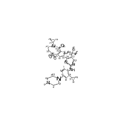 CN1CCN(c2ccc(Nc3ncc(C(F)(F)F)c(-c4cc5c(s4)C(=O)N(C4CC4)CCS5(=O)=O)n3)c(C3CC3)c2)CC1